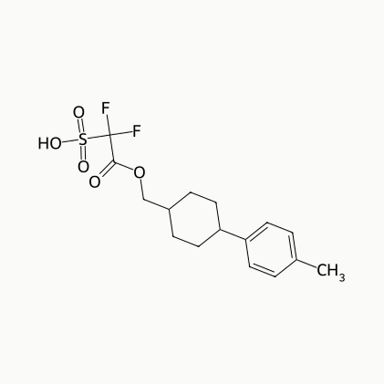 Cc1ccc(C2CCC(COC(=O)C(F)(F)S(=O)(=O)O)CC2)cc1